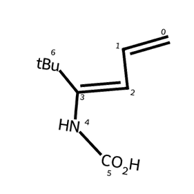 C=CC=C(NC(=O)O)C(C)(C)C